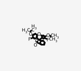 CC(C)Oc1cc2c(cc1F)C1(OC(=O)c3ccccc31)c1cc(F)c(OC(C)C)cc1O2